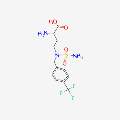 N[C@@H](CCN(Cc1ccc(C(F)(F)F)cc1)S(N)(=O)=O)C(=O)O